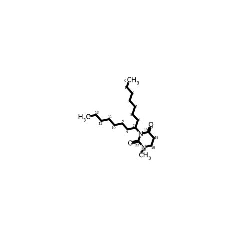 CCCCCCCC(CCCCCCC)N1C(=O)CCN(C)C1=O